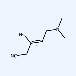 CN(C)C/C=C(\C#N)CC#N